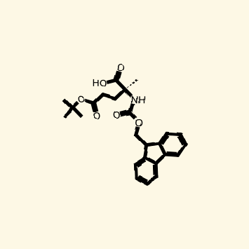 CC(C)(C)OC(=O)CC[C@](C)(NC(=O)OCC1c2ccccc2-c2ccccc21)C(=O)O